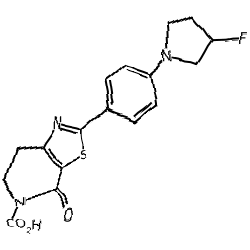 O=C(O)N1CCc2nc(-c3ccc(N4CCC(F)C4)cc3)sc2C1=O